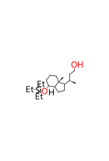 CC[Si](CC)(CC)O[C@H]1CCC[C@]2(C)C([C@H](C)CCO)CC[C@@H]12